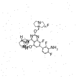 COc1cc(-c2ccc(F)c(N)c2F)c(F)c2nc(OC[C@@]34CCCN3C[C@H](F)C4)nc(N3C[C@H]4CC[C@@H](C3)N4)c12